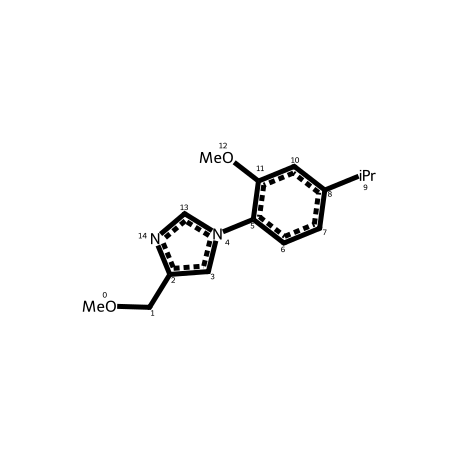 COCc1cn(-c2ccc(C(C)C)cc2OC)cn1